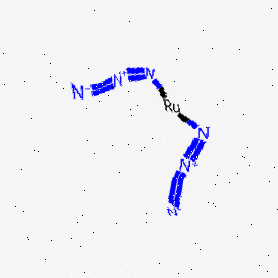 [N-]=[N+]=[N][Ru][N]=[N+]=[N-]